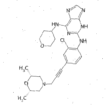 C[C@@H]1CN(CC#Cc2ccc(Nc3nc(NC4CCOCC4)c4ncnc-4[nH]3)c(Cl)c2)C[C@H](C)O1